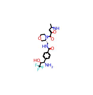 CC1C=C(C(=O)N2CCOC[C@H]2CNC(=O)c2ccc([C@H](N)C(O)C(F)(F)F)cc2)ON1